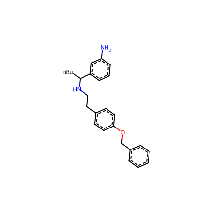 CCCCC(NCCc1ccc(OCc2ccccc2)cc1)c1cccc(N)c1